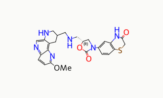 COc1ccc2ncc3c(c2n1)CC(CNC[C@@H]1CN(c2ccc4c(c2)NC(=O)CS4)C(=O)O1)CN3